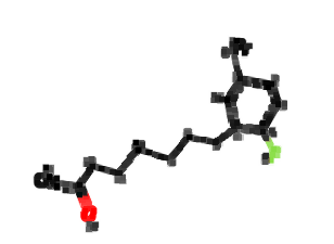 CC(C)c1ccc(F)c(CCCCCCC(=O)N=O)c1